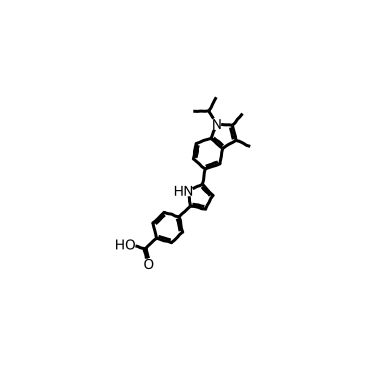 Cc1c(C)n(C(C)C)c2ccc(-c3ccc(-c4ccc(C(=O)O)cc4)[nH]3)cc12